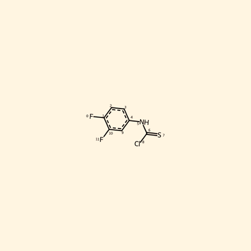 Fc1ccc(NC(=S)Cl)cc1F